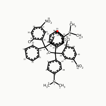 CN(C)c1ccc(C(OC(c2ccccc2)(c2ccc(N(C)C)cc2)c2cc([N+](=O)[O-])ccc2Cl)(c2ccccc2)c2cc([N+](=O)[O-])ccc2Cl)cc1